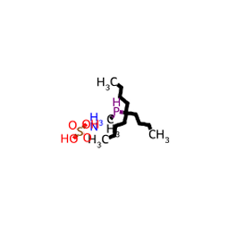 CCCCC(CCCC)(CCCC)PC.N.O=S(=O)(O)O